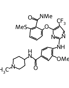 CNC(=O)c1c(Oc2nc(Nc3ccc(C(=O)NC4CCN(C)CC4)cc3OC)ncc2C(F)(F)F)cccc1SC